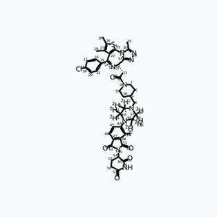 [2H]C1([2H])N(CC2CCN(C(=O)C[C@@H]3N=C(c4ccc(Cl)cc4)c4c(sc(C)c4C)-n4c(C)nnc43)CC2)C([2H])([2H])C([2H])([2H])N(c2ccc3c(c2F)C(=O)N(C2CCC(=O)NC2=O)C3=O)C1([2H])[2H]